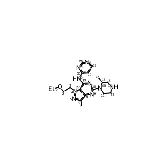 CCOCCn1nc(C)c2nc(N3CCNC[C@@H]3C)nc(Nc3ccncn3)c21